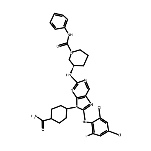 NC(=O)C1CCC(n2c(Nc3c(F)cc(Cl)cc3Cl)nc3cnc(N[C@@H]4CCCN(C(=O)Nc5ccccc5)C4)nc32)CC1